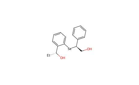 CC[C@@H](O)c1ccccc1[Se][C@H](CO)c1ccccc1